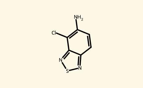 Nc1ccc2nsnc2c1Cl